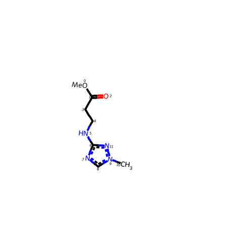 COC(=O)CCNc1ncn(C)n1